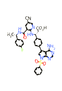 C[C@H](NC(=O)c1cc(C#N)cnc1N[C@H](CC(=O)O)c1ccc(-c2cn(S(=O)(=O)c3ccccc3)c3ncnc(N)c23)cc1)c1ccc(F)cc1